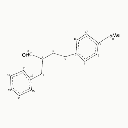 CSc1ccc(CCC(C=O)Cc2ccccc2)cc1